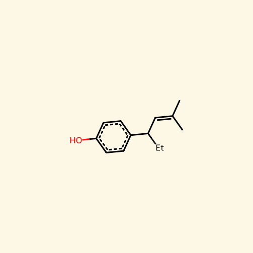 CCC(C=C(C)C)c1ccc(O)cc1